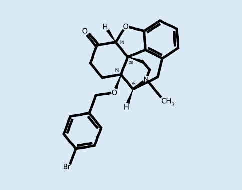 CN1CC[C@]23c4c5cccc4O[C@H]2C(=O)CC[C@@]3(OCc2ccc(Br)cc2)[C@H]1C5